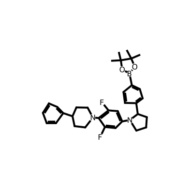 CC1(C)OB(c2ccc(C3CCCN3c3cc(F)c(N4CCC(c5ccccc5)CC4)c(F)c3)cc2)OC1(C)C